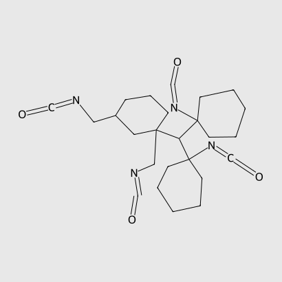 O=C=NCC1CCCC(CN=C=O)(C(C2(N=C=O)CCCCC2)C2(N=C=O)CCCCC2)C1